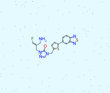 NC/C(=C\F)Cn1ncn(Cc2ccc(-c3ccc4nsnc4c3)s2)c1=O